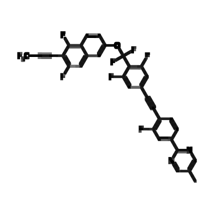 Cc1cnc(-c2ccc(C#Cc3cc(F)c(C(F)(F)Oc4ccc5c(F)c(C#CC(F)(F)F)c(F)cc5c4)c(F)c3)c(F)c2)nc1